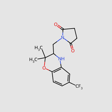 CC1(C)Oc2ccc(C(F)(F)F)cc2NC1CN1C(=O)CCC1=O